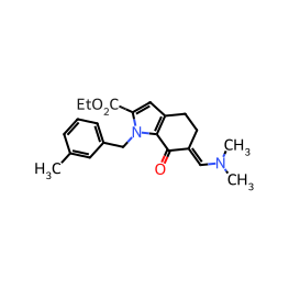 CCOC(=O)c1cc2c(n1Cc1cccc(C)c1)C(=O)C(=CN(C)C)CC2